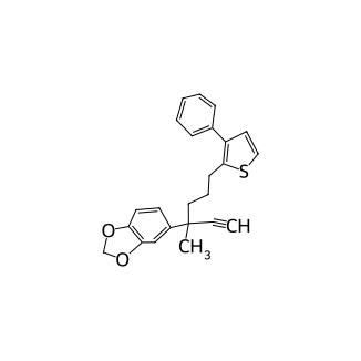 C#CC(C)(CCCc1sccc1-c1ccccc1)c1ccc2c(c1)OCO2